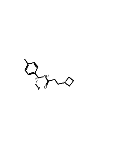 Cc1ccc([C@@H](CF)NC(=O)CCN2CCC2)cc1